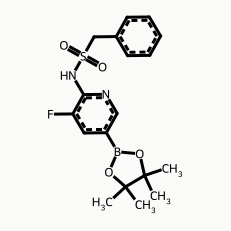 CC1(C)OB(c2cnc(NS(=O)(=O)Cc3ccccc3)c(F)c2)OC1(C)C